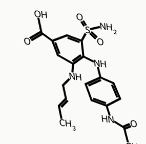 C/C=C/CNc1cc(C(=O)O)cc(S(N)(=O)=O)c1Nc1ccc(NC(C)=O)cc1